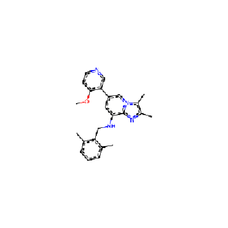 COc1ccncc1-c1cc(NCc2c(C)cccc2C)c2nc(C)c(C)n2c1